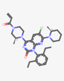 C=CC(=O)N1CCN(c2nc(=O)n(-c3c(CC)cccc3CC)c3nc(N4CCCC[C@@H]4C)c(Cl)cc23)[C@@H](C)C1